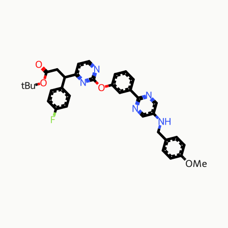 COc1ccc(CNc2cnc(-c3cccc(Oc4nccc(C(CC(=O)OC(C)(C)C)c5ccc(F)cc5)n4)c3)nc2)cc1